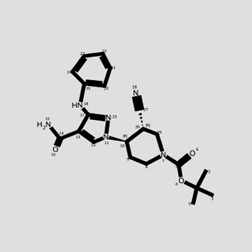 CC(C)(C)OC(=O)N1CC[C@@H](n2cc(C(N)=O)c(Nc3ccccc3)n2)[C@H](C#N)C1